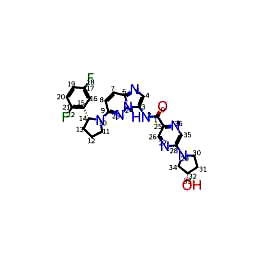 O=C(Nc1cnc2ccc(N3CCC[C@@H]3c3cc(F)ccc3F)nn12)c1cnc(N2CC[C@H](O)C2)cn1